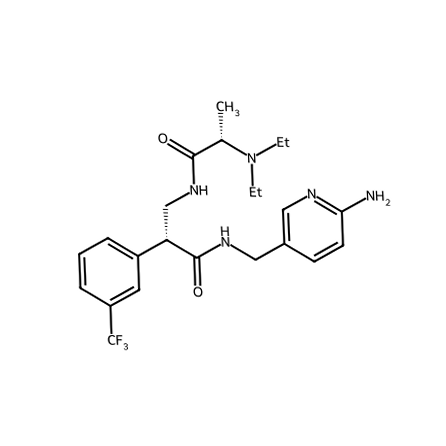 CCN(CC)[C@@H](C)C(=O)NC[C@H](C(=O)NCc1ccc(N)nc1)c1cccc(C(F)(F)F)c1